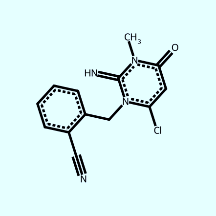 Cn1c(=O)cc(Cl)n(Cc2ccccc2C#N)c1=N